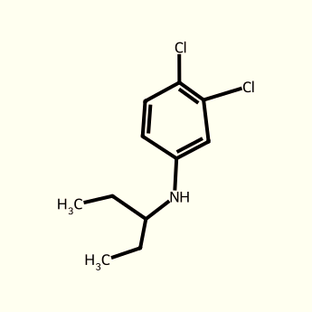 CCC(CC)Nc1ccc(Cl)c(Cl)c1